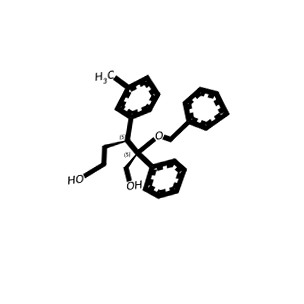 Cc1cccc([C@H](CCO)[C@](CO)(OCc2ccccc2)c2ccccc2)c1